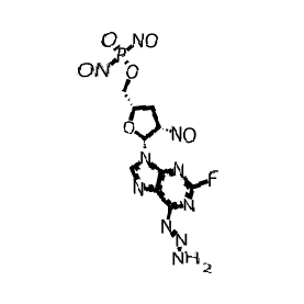 NN=Nc1nc(F)nc2c1ncn2[C@@H]1O[C@H](COP(=O)(N=O)N=O)C[C@@H]1N=O